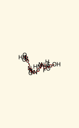 Cc1c(NC(=O)c2ccc(C(C)(C)O)cc2F)cc(F)cc1-c1ncnc2[nH]c(-c3ccc(CN4CCN(C(=O)N5CCN(CCC#Cc6ccc(N7CCC(=O)NC7=O)cc6)CC5)CC4)cc3)cc12